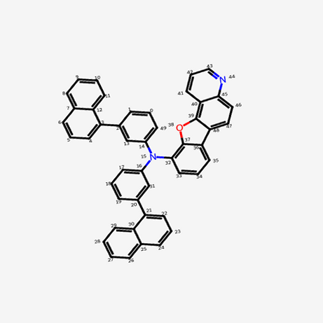 c1cc(-c2cccc3ccccc23)cc(N(c2cccc(-c3cccc4ccccc34)c2)c2cccc3c2oc2c4cccnc4ccc32)c1